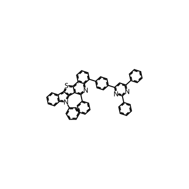 c1ccc(-c2cc(-c3ccc(-c4cccc5c4nc(-c4ccccc4)c4c5sc5c6ccccc6n(-c6ccccc6)c54)cc3)nc(-c3ccccc3)n2)cc1